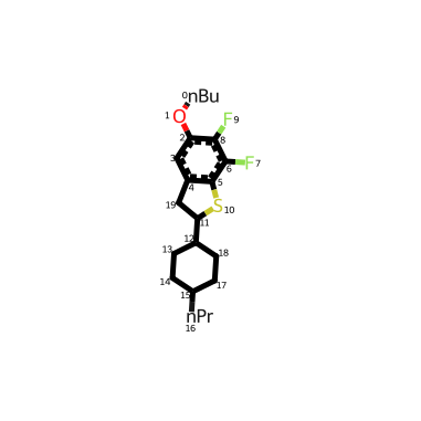 CCCCOc1cc2c(c(F)c1F)SC(C1CCC(CCC)CC1)C2